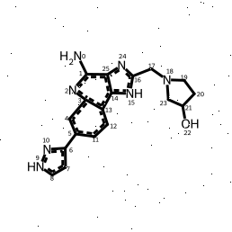 Nc1nc2cc(-c3cc[nH]n3)ccc2c2[nH]c(CN3CCC(O)C3)nc12